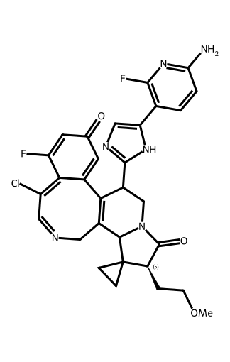 COCC[C@@H]1C(=O)N2CC(c3ncc(-c4ccc(N)nc4F)[nH]3)C3=C(CN=CC(Cl)=C4C(F)=CC(=O)C=C43)C2C12CC2